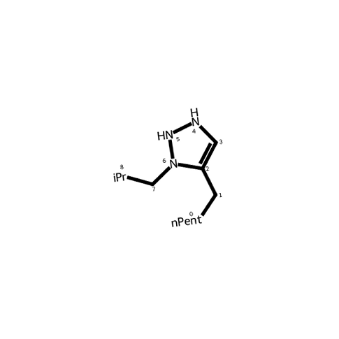 CCCCCCC1=CNNN1CC(C)C